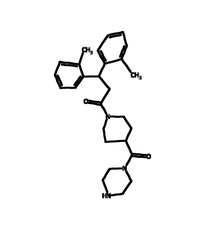 Cc1ccccc1C(CC(=O)N1CCC(C(=O)N2CCNCC2)CC1)c1ccccc1C